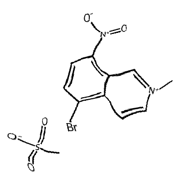 CS(=O)(=O)[O-].C[n+]1ccc2c(Br)ccc([N+](=O)[O-])c2c1